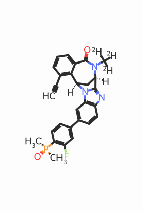 [2H]C([2H])([2H])N1C(=O)c2cccc(C#C)c2[C@H]2C[C@@H]1c1nc3ccc(-c4ccc(P(C)(C)=O)c(F)c4)cc3n12